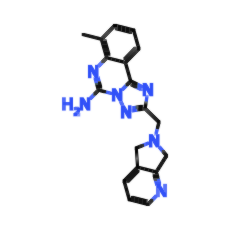 Cc1cccc2c1nc(N)n1nc(CN3Cc4cccnc4C3)nc21